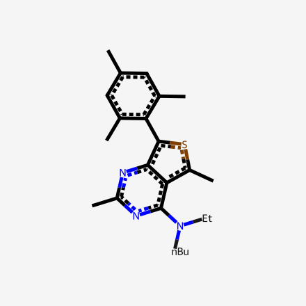 CCCCN(CC)c1nc(C)nc2c(-c3c(C)cc(C)cc3C)sc(C)c12